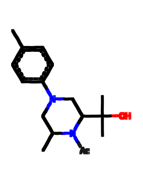 CC(=O)N1C(C)CN(c2ccc(C)cc2)CC1C(C)(C)O